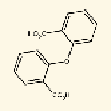 O=C(O)c1ccccc1Oc1ccccc1C(=O)O